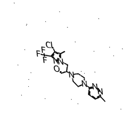 Cc1ccc(N2CCN(C(C=O)Cn3nc(C(F)(F)F)c(Cl)c3C)CC2)nn1